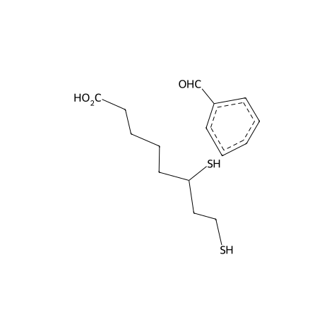 O=C(O)CCCCC(S)CCS.O=Cc1ccccc1